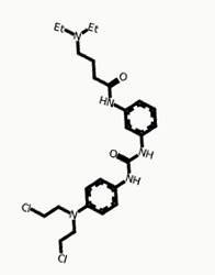 CCN(CC)CCCC(=O)Nc1cccc(NC(=O)Nc2ccc(N(CCCl)CCCl)cc2)c1